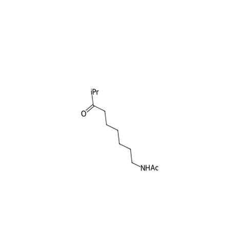 CC(=O)NCCCCCCC(=O)C(C)C